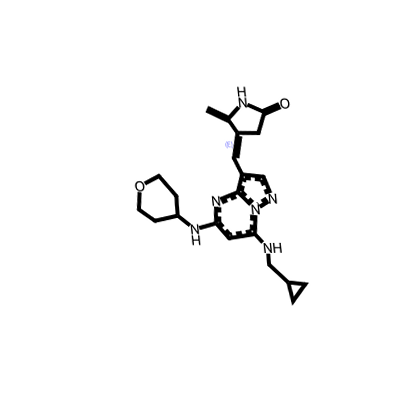 C=C1NC(=O)C/C1=C\c1cnn2c(NCC3CC3)cc(NC3CCOCC3)nc12